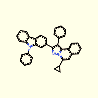 c1ccc(-c2c(-c3ccc4c5ccccc5n(-c5ccccc5)c4c3)nn3c(C4CC4)cc4ccccc4c23)cc1